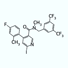 Cc1cc(F)ccc1-c1cc(I)ncc1C(=O)N(C)Cc1cc(C(F)(F)F)cc(C(F)(F)F)c1